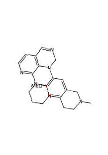 COc1nc2c(cc1N1CN=Cc3ccnc(N4CCCCC4)c31)CN(C)CC2